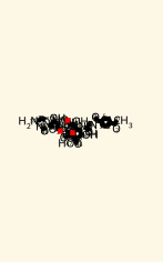 CC(=O)c1ccc(C(=O)NCC(=O)N[C@H]2C([C@H](O)[C@H](O)CO)O[C@](OP(=O)(O)OC[C@H]3O[C@@H](n4ccc(N)nc4=O)[C@@H](O)C3O)(C(=O)O)C[C@H]2O)cc1